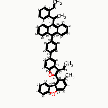 C=Cc1ccccc1C(=C)c1c2ccccc2c(-c2ccc(-c3ccc4oc(-c5c(C)ccc6oc7ccccc7c56)c(C=C)c4c3)cc2)c2ccccc12